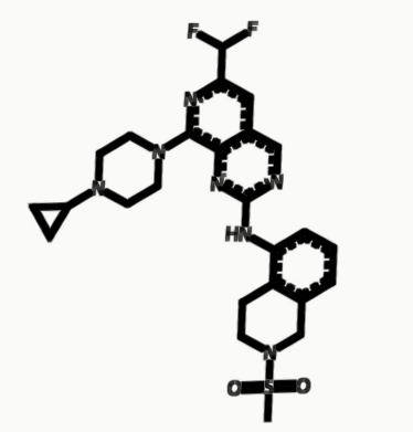 CS(=O)(=O)N1CCc2c(cccc2Nc2ncc3cc(C(F)F)nc(N4CCN(C5CC5)CC4)c3n2)C1